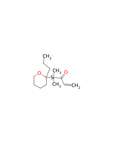 [CH2]CCC1([Si](C)(C)C(=O)C=C)CCCCO1